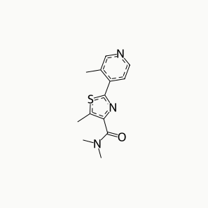 Cc1cnccc1-c1nc(C(=O)N(C)C)c(C)s1